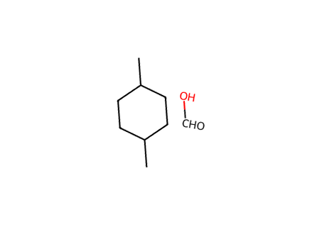 CC1CCC(C)CC1.O=CO